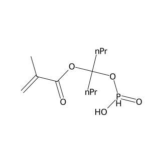 C=C(C)C(=O)OC(CCC)(CCC)O[PH](=O)O